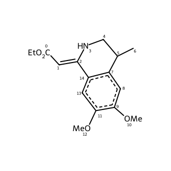 CCOC(=O)C=C1NCC(C)c2cc(OC)c(OC)cc21